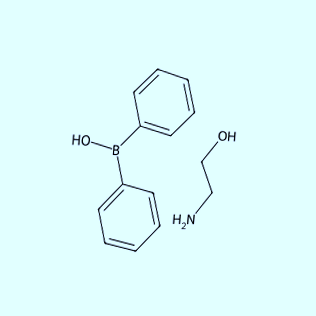 NCCO.OB(c1ccccc1)c1ccccc1